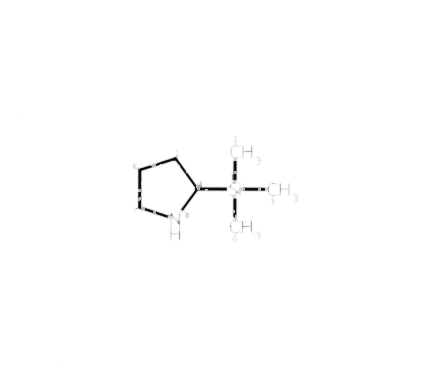 C[Si](C)(C)C1CCCN1